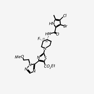 CCOC(=O)c1sc(N2CC[C@@H](NC(=O)c3[nH]c(C)c(Cl)c3Br)[C@@H](F)C2)nc1-c1ncnn1CCOC